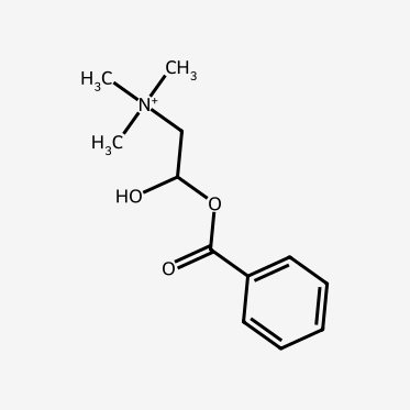 C[N+](C)(C)CC(O)OC(=O)c1ccccc1